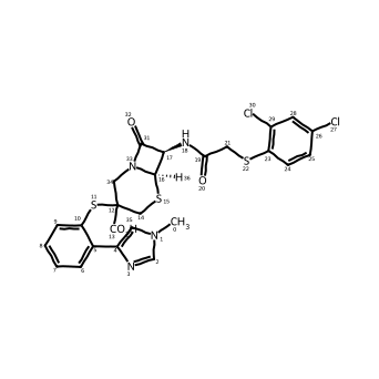 Cn1cnc(-c2ccccc2SC2(C(=O)O)CS[C@@H]3[C@H](NC(=O)CSc4ccc(Cl)cc4Cl)C(=O)N3C2)c1